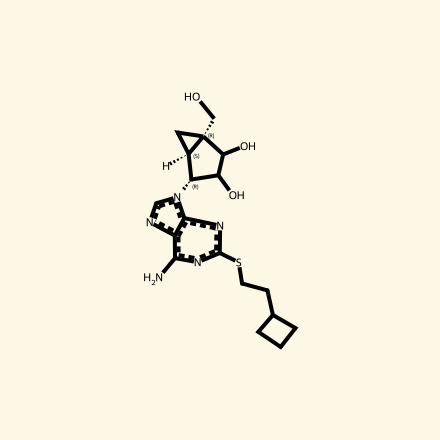 Nc1nc(SCCC2CCC2)nc2c1ncn2[C@H]1C(O)C(O)[C@]2(CO)C[C@H]12